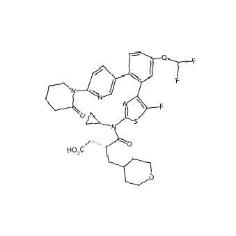 O=C(O)C[C@@H](CC1CCOCC1)C(=O)N(c1nc(-c2cc(OC(F)F)ccc2-c2ccc(N3CCCCC3=O)nc2)c(F)s1)C1CC1